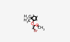 COC(CBr)OC1C=CCC1(C)C